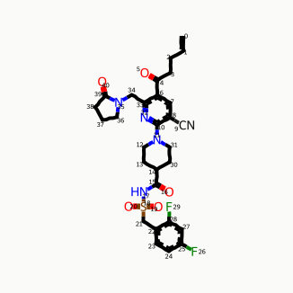 C=CCCC(=O)c1cc(C#N)c(N2CCC(C(=O)NS(=O)(=O)Cc3ccc(F)cc3F)CC2)nc1CN1CCCC1=O